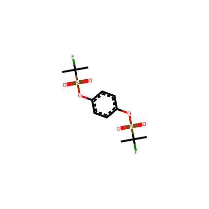 CC(C)(F)S(=O)(=O)Oc1ccc(OS(=O)(=O)C(C)(C)F)cc1